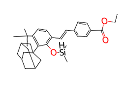 CCOC(=O)c1ccc(C=Cc2ccc(C(C)(C)C)c(C34CC5CC(CC(C5)C3)C4)c2O[SiH](C)C)cc1